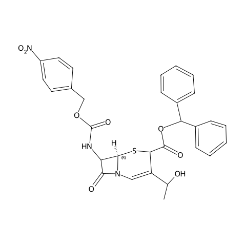 CC(O)C1=CN2C(=O)C(NC(=O)OCc3ccc([N+](=O)[O-])cc3)[C@H]2SC1C(=O)OC(c1ccccc1)c1ccccc1